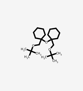 CC(C)(C)OCC1(OC2(COC(C)(C)C)CCCCC2)CCCCC1